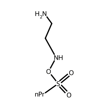 CCCS(=O)(=O)ONCCN